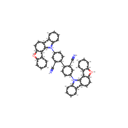 N#Cc1cc(-n2c3ccccc3c3ccc4oc5ccccc5c4c32)ccc1-c1ccc(-n2c3ccccc3c3ccc4oc5ccccc5c4c32)cc1C#N